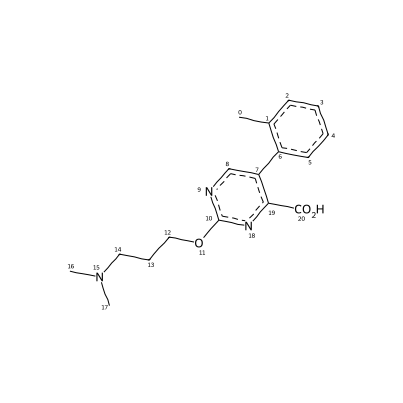 Cc1ccccc1-c1cnc(OCCCN(C)C)nc1C(=O)O